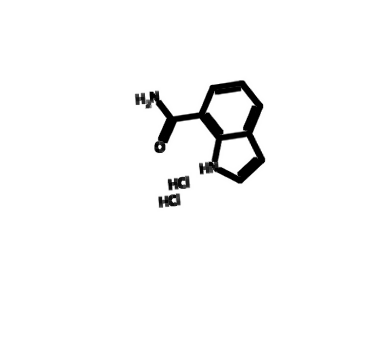 Cl.Cl.NC(=O)c1cccc2cc[nH]c12